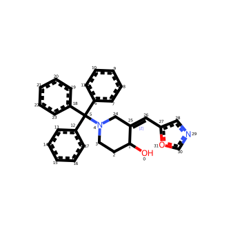 OC1CCN(C(c2ccccc2)(c2ccccc2)c2ccccc2)C/C1=C/c1cnco1